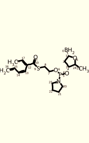 B[C@H]1C[C@@H](OP(OCCSC(=O)C(/C=C\C=C)=C/C)N2CCCC2)C(C)O1